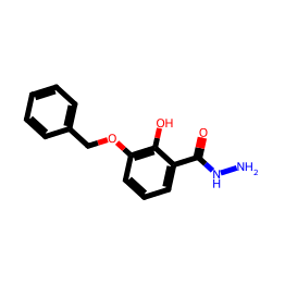 NNC(=O)c1cccc(OCc2ccccc2)c1O